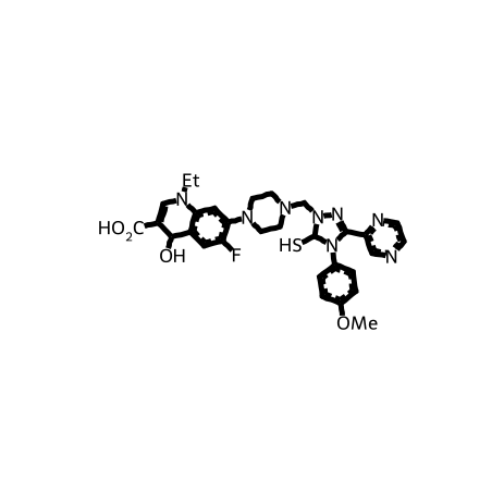 CCN1C=C(C(=O)O)C(O)c2cc(F)c(N3CCN(CN4N=C(c5cnccn5)N(c5ccc(OC)cc5)C4S)CC3)cc21